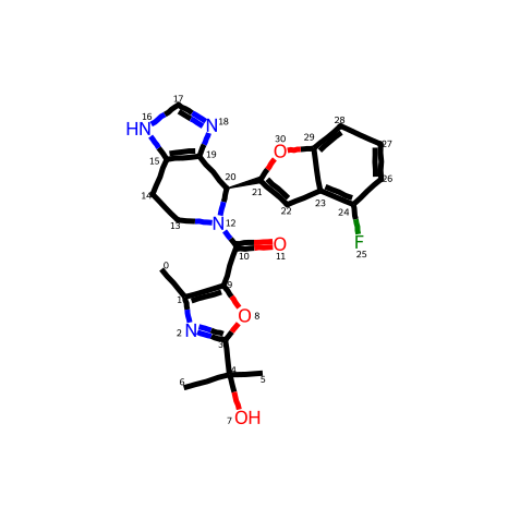 Cc1nc(C(C)(C)O)oc1C(=O)N1CCc2[nH]cnc2[C@H]1c1cc2c(F)cccc2o1